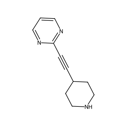 C(#CC1CCNCC1)c1ncccn1